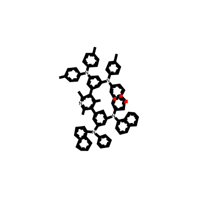 Cc1ccc(N(c2ccc(C)cc2)c2cc(-c3c(C)nc(C)c(-c4cc(N(c5ccccc5)c5cccc6ccccc56)cc(N(c5ccccc5)c5cccc6ccccc56)c4)c3C)cc(N(c3ccc(C)cc3)c3ccc(C)cc3)c2)cc1